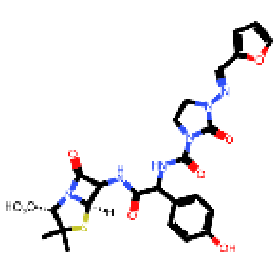 CC1(C)S[C@@H]2C(NC(=O)C(NC(=O)N3CCN(/N=C/c4ccco4)C3=O)c3ccc(O)cc3)C(=O)N2[C@H]1C(=O)O